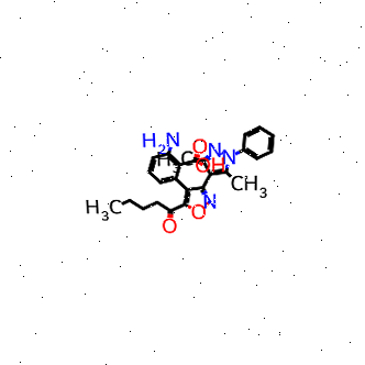 CCCCC(=O)c1onc(-c2c(C)nn(-c3ccccc3)c2C)c1-c1cccc(N)c1C(=O)O